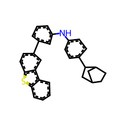 c1cc(Nc2ccc(C3CC4CCC3C4)cc2)cc(-c2ccc3sc4ccccc4c3c2)c1